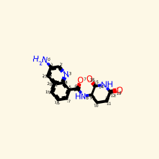 Nc1cnc2c(C(=O)NC3CCC(=O)NC3=O)cccc2c1